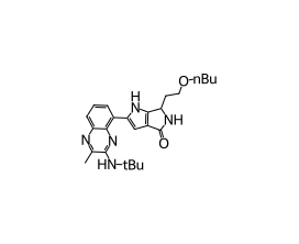 CCCCOCCC1NC(=O)c2cc(-c3cccc4nc(C)c(NC(C)(C)C)nc34)[nH]c21